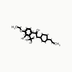 CCCC1CCC(CC(=O)c2ccc(OCC)c(F)c2C(F)(F)F)CC1